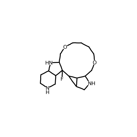 FC12C(COCCCCOCC3NCC4C3C41)NC1CCNCC12